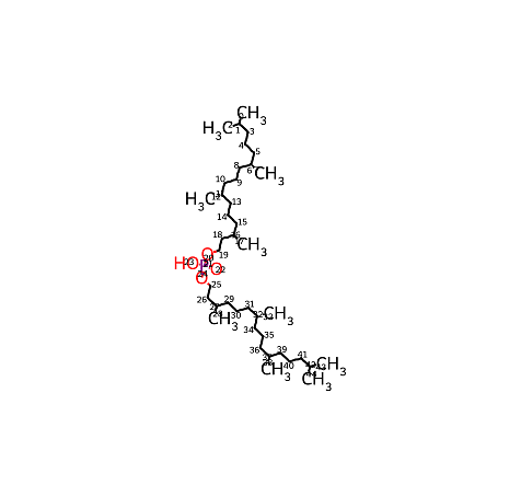 CC(C)CCC[C@@H](C)CCC[C@@H](C)CCCC(C)CCOP(=O)(O)OCCC(C)CCC[C@H](C)CCC[C@H](C)CCCC(C)C